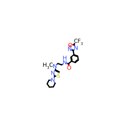 CN(CCNC(=O)c1cccc(-c2noc(C(F)(F)F)n2)c1)c1csc(N2CCCCC2)n1